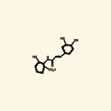 O=C(/C=C/c1ccc(O)c(O)c1)Nc1c(O)cccc1C(=O)O